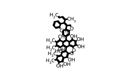 C=C/C=C(C)\C(=C1/COc2cc(-c3c4c(C)c(C)c(C)c(O)c4c4c5c(c(O)c(O)c(O)c35)OOc3c-4c(O)c4c(C)c(C)c(O)c(O)c4c3O)ccc21)c1ccccc1C